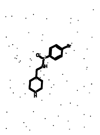 [O-][S+](NCC1CCNCC1)c1ccc(Br)cc1